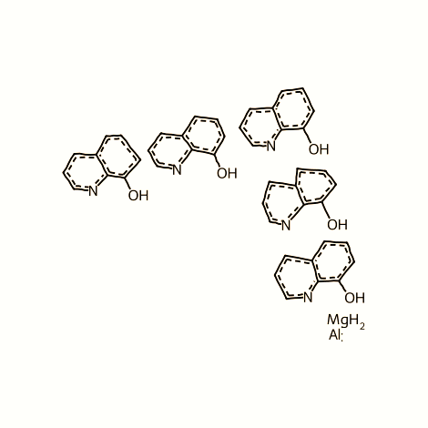 Oc1cccc2cccnc12.Oc1cccc2cccnc12.Oc1cccc2cccnc12.Oc1cccc2cccnc12.Oc1cccc2cccnc12.[Al].[MgH2]